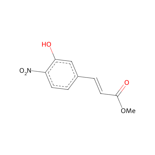 COC(=O)/C=C/c1ccc([N+](=O)[O-])c(O)c1